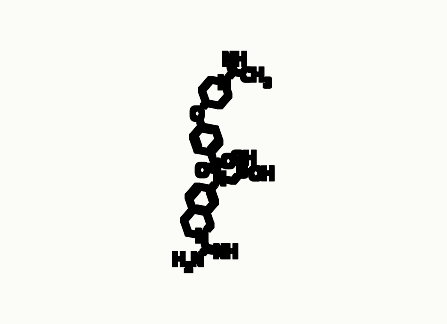 CC(=N)N1CCC(Oc2ccc(S(=O)(=O)N(CB(O)O)c3ccc4c(c3)CN(C(=N)N)CC4)cc2)CC1